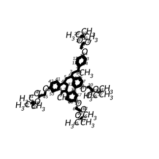 CCC(CC(CC(CC(C)c1ccc(OCC(=O)OC(C)(C)C)cc1)c1ccc(OCC(=O)OC(C)(C)C)cc1)c1ccc(OCC(=O)OC(C)(C)C)cc1)c1ccc(OCC(=O)OC(C)(C)C)cc1